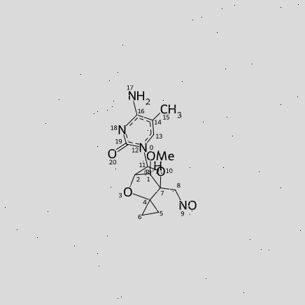 CO[C@@H]1C2OC3(CC3)C1(CN=O)OC2n1cc(C)c(N)nc1=O